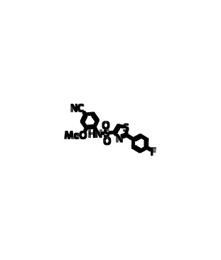 COc1cc(C#N)ccc1NS(=O)(=O)c1csc(-c2ccc(F)cc2)n1